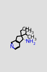 CCC1(C(C)C)Cc2cnccc2[C@H]1N